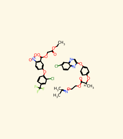 CC(C)=NOCCOC(=O)[C@@H](C)Oc1ccc(Oc2cnc3cc(Cl)ccc3n2)cc1.CCOC(=O)COC(=O)c1cc(Oc2ccc(C(F)(F)F)cc2Cl)ccc1[N+](=O)[O-]